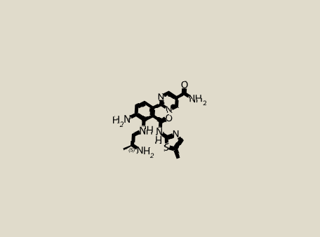 Cc1cnc(NC(=O)c2c(-c3ncc(C(N)=O)cn3)ccc(N)c2NC[C@H](C)N)s1